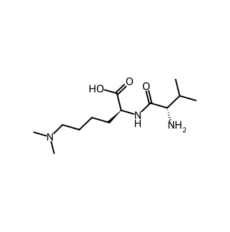 CC(C)[C@H](N)C(=O)N[C@@H](CCCCN(C)C)C(=O)O